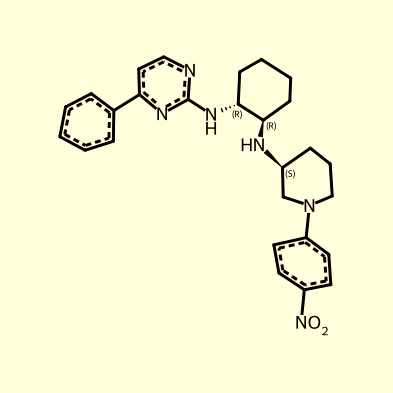 O=[N+]([O-])c1ccc(N2CCC[C@H](N[C@@H]3CCCC[C@H]3Nc3nccc(-c4ccccc4)n3)C2)cc1